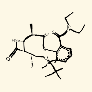 CCN(CC)C(=S)c1cccc(C)c1SC(=O)[C@H](C)[C@H]1NC(=O)[C@@H]1[C@@H](C)O[Si](C)(C)C(C)(C)C